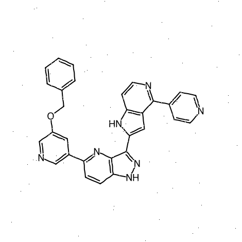 c1ccc(COc2cncc(-c3ccc4[nH]nc(-c5cc6c(-c7ccncc7)nccc6[nH]5)c4n3)c2)cc1